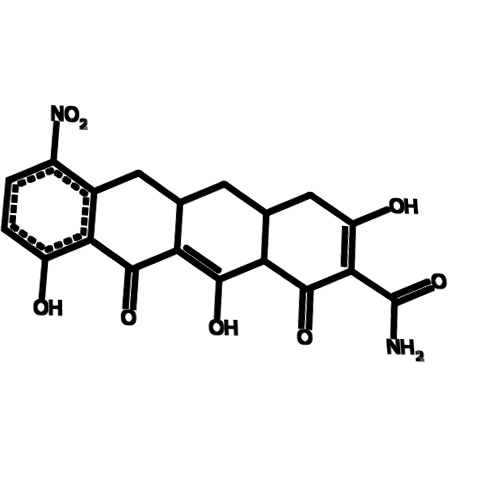 NC(=O)C1=C(O)CC2CC3Cc4c([N+](=O)[O-])ccc(O)c4C(=O)C3=C(O)C2C1=O